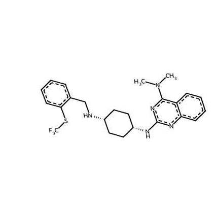 CN(C)c1nc(N[C@H]2CC[C@@H](NCc3ccccc3SC(F)(F)F)CC2)nc2ccccc12